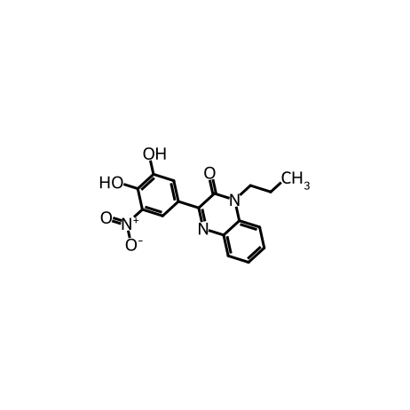 CCCn1c(=O)c(-c2cc(O)c(O)c([N+](=O)[O-])c2)nc2ccccc21